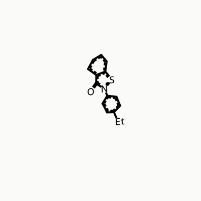 CCc1ccc(-n2sc3ccccc3c2=O)cc1